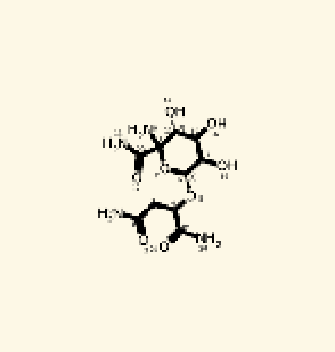 NC(=O)CC(O[C@H]1OC(N)(C(N)=O)[C@H](O)C(O)C1O)C(N)=O